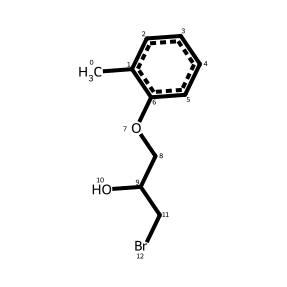 Cc1ccccc1OCC(O)CBr